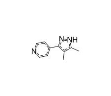 Cc1[nH]nc(-c2ccncc2)c1C